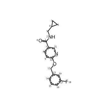 O=C(NCC1CC1)c1ccc(OCc2cccc(F)c2)nc1